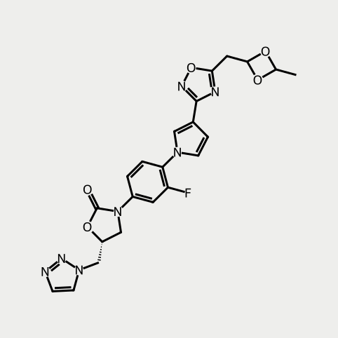 CC1OC(Cc2nc(-c3ccn(-c4ccc(N5C[C@H](Cn6ccnn6)OC5=O)cc4F)c3)no2)O1